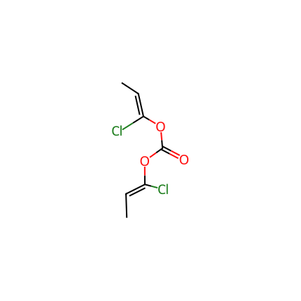 CC=C(Cl)OC(=O)OC(Cl)=CC